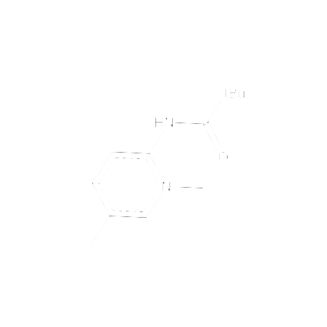 Cc1ccc(NC(=O)C(C)(C)C)[n+](C)c1